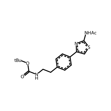 CC(=O)Nc1nc(-c2ccc(CCNC(=O)OC(C)(C)C)cc2)cs1